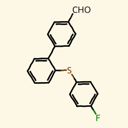 O=Cc1ccc(-c2ccccc2Sc2ccc(F)cc2)cc1